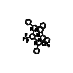 Cc1ccc2c3ccccc3n(-c3c(-c4nc(-c5ccccc5)cc(-c5ccccc5)n4)cc(C(F)(F)F)cc3-c3nc(-c4ccccc4)cc(-c4ccccc4)n3)c2c1